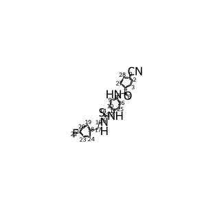 N#Cc1ccc(C(=O)Nc2ccc(NC(=S)NCCc3ccc(F)cc3)cc2)cc1